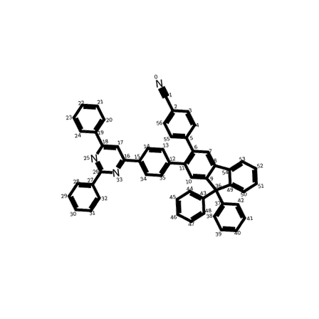 N#Cc1ccc(-c2cc3c(cc2-c2ccc(-c4cc(-c5ccccc5)nc(-c5ccccc5)n4)cc2)C(c2ccccc2)(c2ccccc2)c2ccccc2-3)cc1